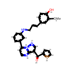 COc1cc(C=CCNc2cccc(-c3ccnc4c(C(=O)c5cccs5)cnn34)c2)ccc1O